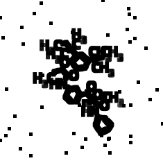 CCC(Oc1ccc(C(C)(C)CC)cc1C(C)(C)CC)C(=O)Nc1cccc(C(=O)C(F)(OC)C(=O)Nc2ccccc2)c1